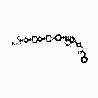 CC(C)(C)OC(=O)N1CC(N2CCC3(CC2)CC(N2CCN(c4ccc(Nc5ncnc6c5ncn6C5CC(NC(=O)Cc6ccccc6)C5)cc4)CC2)C3)C1